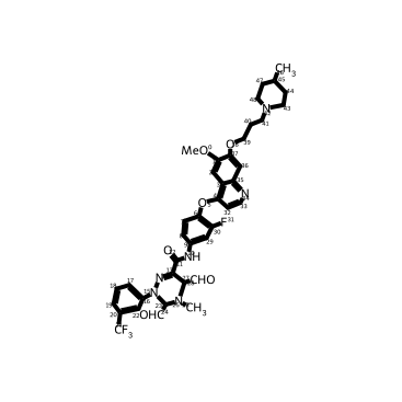 COc1cc2c(Oc3ccc(NC(=O)C4=NN(c5cccc(C(F)(F)F)c5)C(C=O)N(C)C4C=O)cc3F)ccnc2cc1OCCCN1CCC(C)CC1